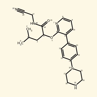 CC(C)CC(Oc1ncccc1-c1ccc(N2CCNCC2)cc1)C(=O)NCC#N